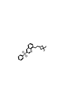 O=S(=O)(c1ccccc1)c1cnc2c(CCN3CC(F)(F)C3)cccc2c1